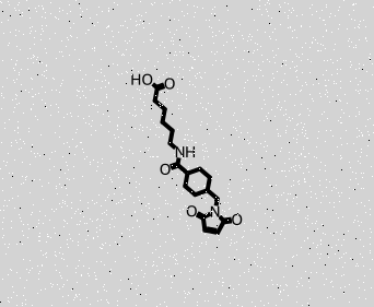 O=C(O)CCCCCNC(=O)C1CCC(CN2C(=O)C=CC2=O)CC1